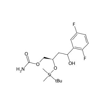 CC(C)(C)[Si](C)(C)O[C@@H](COC(N)=O)CC(O)c1cc(F)ccc1F